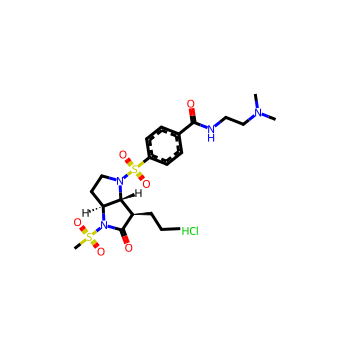 CCC[C@H]1C(=O)N(S(C)(=O)=O)[C@H]2CCN(S(=O)(=O)c3ccc(C(=O)NCCN(C)C)cc3)[C@H]12.Cl